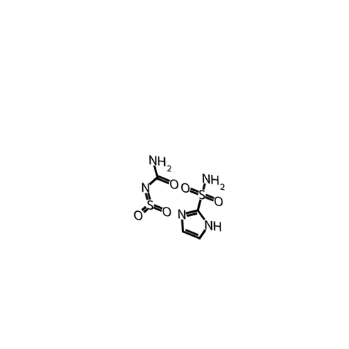 NC(=O)N=S(=O)=O.NS(=O)(=O)c1ncc[nH]1